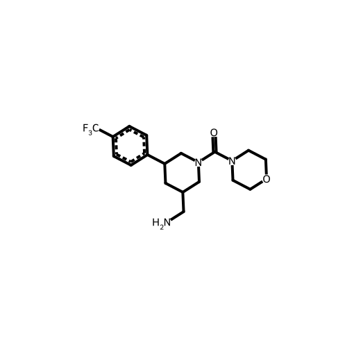 NCC1CC(c2ccc(C(F)(F)F)cc2)CN(C(=O)N2CCOCC2)C1